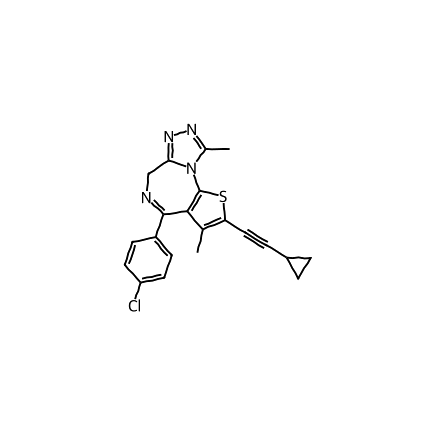 Cc1c(C#CC2CC2)sc2c1C(c1ccc(Cl)cc1)=NCc1nnc(C)n1-2